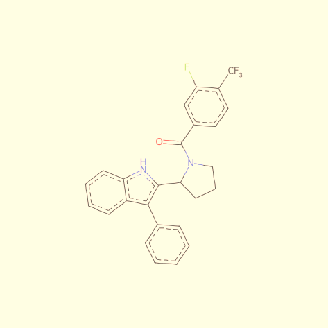 O=C(c1ccc(C(F)(F)F)c(F)c1)N1CCCC1c1[nH]c2ccccc2c1-c1ccccc1